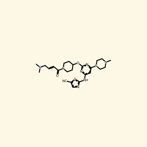 CN(C)C/C=C/C(=O)N1CCC(Oc2nc(Nc3ncc(C#N)s3)cc(N3CCN(C)CC3)n2)CC1